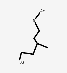 CCC(C)CCC(C)CCSC(C)=O